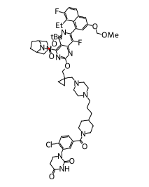 CCc1c(F)ccc2cc(OCOC)cc(-c3ncc4c(N5CC6CCC(C5)N6C(=O)OC(C)(C)C)nc(OCC5(CN6CCN(CCCC7CCN(C(=O)c8ccc(Cl)c(N9CCC(=O)NC9=O)c8)CC7)CC6)CC5)nc4c3F)c12